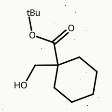 CC(C)(C)OC(=O)C1(CO)CCCCC1